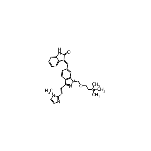 Cn1ccnc1/C=C/c1nn(COCC[Si](C)(C)C)c2cc(/C=C3/C(=O)Nc4ccccc43)ccc12